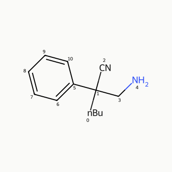 CCCCC(C#N)(CN)c1ccccc1